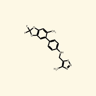 Cc1cc2c(cc1-c1ccc(NCc3snnc3C)cc1)OC(F)(F)O2